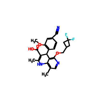 COc1cc(C#N)ccc1C1C(C(=O)O)=C(C)Nc2c(C)cnc(OCC3CC(F)(F)C3)c21